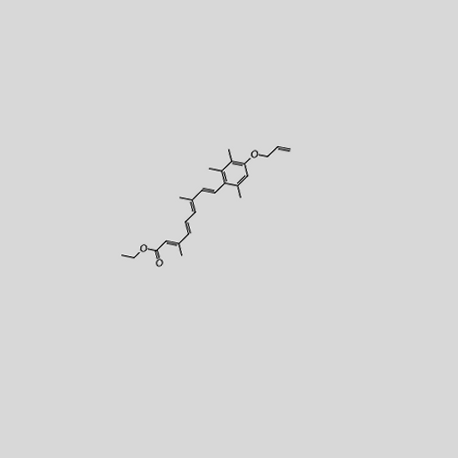 C=CCOc1cc(C)c(C=CC(C)=CC=CC(C)=CC(=O)OCC)c(C)c1C